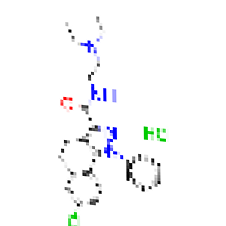 CCN(CC)CCNC(=O)c1nn(-c2ccccc2)c2c1CCc1cc(Cl)ccc1-2.Cl